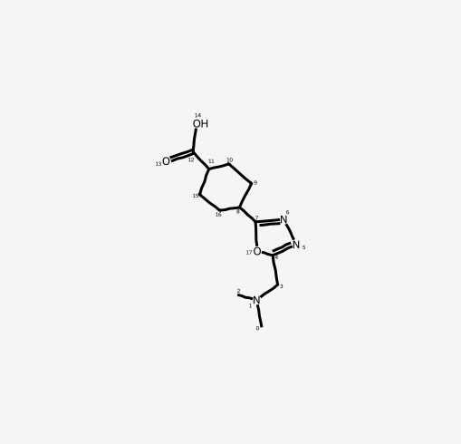 CN(C)Cc1nnc(C2CCC(C(=O)O)CC2)o1